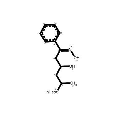 CCCCCCCC(C)CC(O)CC(=NO)c1ccccc1